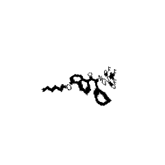 CCCCCCOc1cccc2c(C(=O)/C(=N/OS(=O)(=O)C(F)(F)F)c3ccccc3)cccc12